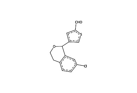 O=Cc1cc(C2OCCc3ccc(Cl)cc32)cs1